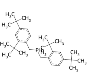 CC(C)(C)c1ccc(CPCc2ccc(C(C)(C)C)cc2C(C)(C)C)c(C(C)(C)C)c1